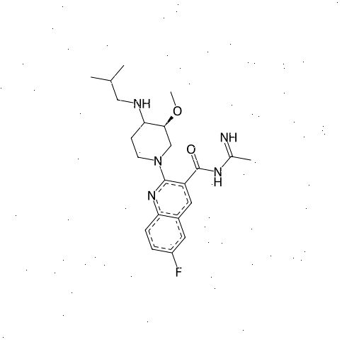 CO[C@H]1CN(c2nc3ccc(F)cc3cc2C(=O)NC(C)=N)CCC1NCC(C)C